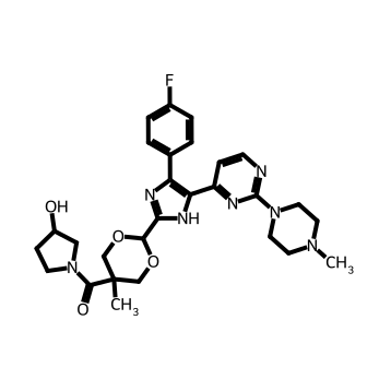 CN1CCN(c2nccc(-c3[nH]c(C4OCC(C)(C(=O)N5CCC(O)C5)CO4)nc3-c3ccc(F)cc3)n2)CC1